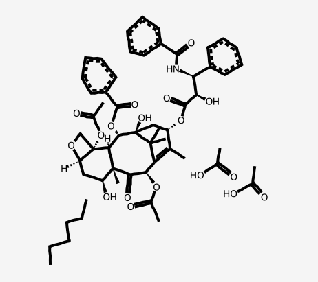 CC(=O)O.CC(=O)O.CC(=O)O[C@H]1C(=O)[C@@]2(C)[C@H]([C@H](OC(=O)c3ccccc3)[C@]3(O)C[C@H](OC(=O)[C@H](O)[C@@H](NC(=O)c4ccccc4)c4ccccc4)C(C)=C1C3(C)C)[C@]1(OC(C)=O)CO[C@@H]1C[C@@H]2O.CCCCCC